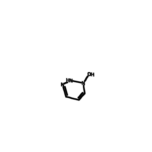 ON1C=CC=NN1